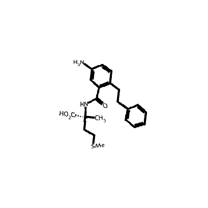 CSCC[C@](C)(NC(=O)c1cc(N)ccc1CCc1ccccc1)C(=O)O